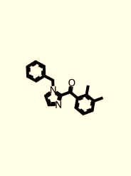 Cc1cccc(C(=O)c2nccn2Cc2ccccc2)c1C